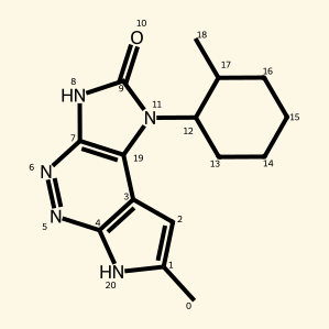 Cc1cc2c(nnc3[nH]c(=O)n(C4CCCCC4C)c32)[nH]1